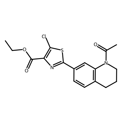 CCOC(=O)c1nc(-c2ccc3c(c2)N(C(C)=O)CCC3)sc1Cl